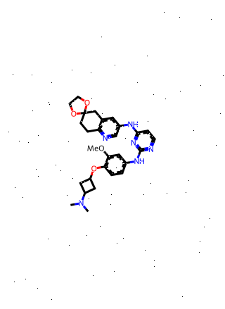 COc1cc(Nc2nccc(Nc3cnc4c(c3)CC3(CC4)OCCO3)n2)ccc1OC1CC(N(C)C)C1